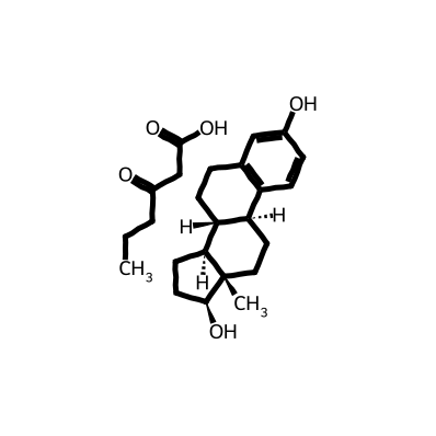 CCCC(=O)CC(=O)O.C[C@]12CC[C@@H]3c4ccc(O)cc4CC[C@H]3[C@@H]1CC[C@@H]2O